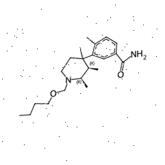 CCCCOCN1CCC(C)(c2cc(C(N)=O)ccc2C)[C@@H](C)[C@H]1C